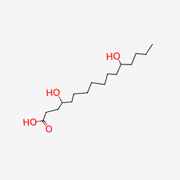 CCCCC(O)CCCCCCCC(O)CCC(=O)O